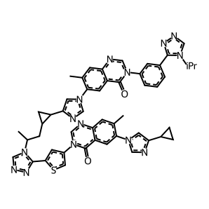 Cc1cc2ncn(-c3csc(-c4nncn4C(C)CC4CC4c4cn(-c5cc6c(=O)n(-c7cccc(-c8nncn8C(C)C)c7)cnc6cc5C)cn4)c3)c(=O)c2cc1-n1cnc(C2CC2)c1